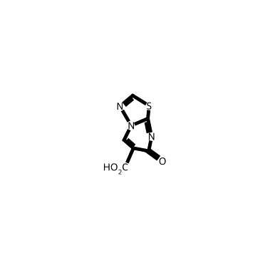 O=C(O)c1cn2ncsc2nc1=O